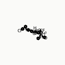 O=C(NS(=O)(=O)c1ccc(N[C@H](CCN2CCOCC2)CSc2ccccc2)c(S(=O)(=O)C(F)(F)F)c1)c1ccc(N2CCN(Cc3ccccc3-c3ccc(Cl)cc3)CC2)cc1